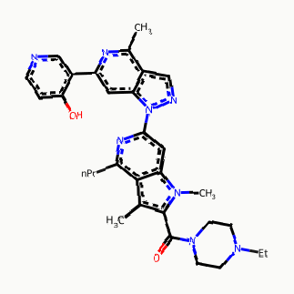 CCCc1nc(-n2ncc3c(C)nc(-c4cnccc4O)cc32)cc2c1c(C)c(C(=O)N1CCN(CC)CC1)n2C